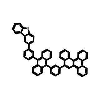 c1cc(-c2ccc3sc4ccccc4c3c2)cc(-c2c3ccccc3c(-c3cccc(-c4cc5c6ccccc6c6ccccc6c5c5ccccc45)c3)c3ccccc23)c1